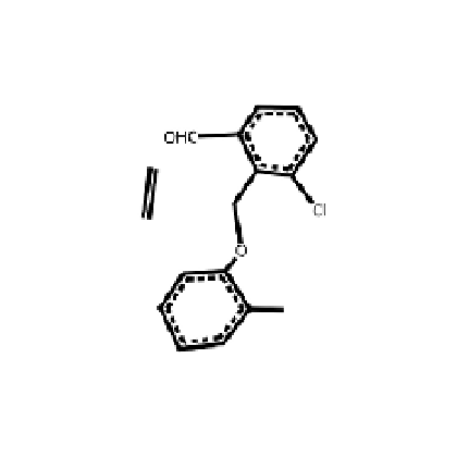 C=C.Cc1ccccc1OCc1c(Cl)cccc1C=O